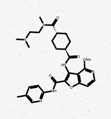 COc1nccc2oc(C(=O)Nc3ccc(C)cn3)c(NC(=O)[C@H]3CC[C@H](C(=O)N(C)CCN(C)C)CC3)c12